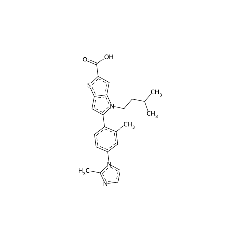 Cc1cc(-n2ccnc2C)ccc1-c1cc2sc(C(=O)O)cc2n1CCC(C)C